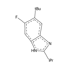 CC(C)c1nc2cc(C(C)(C)C)c(F)cc2[nH]1